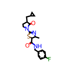 CC1N=C(N2CCC(CC3CC3)C2=O)SC1C(=O)NCc1ccc(F)cc1